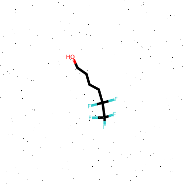 OCCCCC(F)(F)C(F)(F)F